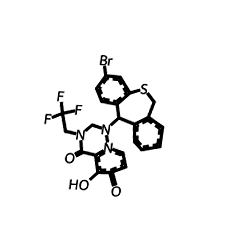 O=C1c2c(O)c(=O)ccn2N(C2c3ccccc3CSc3cc(Br)ccc32)CN1CC(F)(F)F